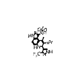 CCCC1=C(C)c2c(ccc3[nH]nc(NS(C)(=O)=O)c23)NC1c1c[nH]nc1C(F)(F)F